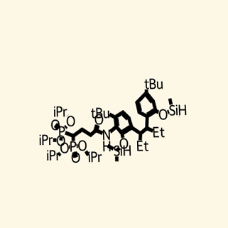 CCC(c1ccc(C(C)(C)C)cc1O[SiH](C)C)C(CC)c1ccc(C(C)(C)C)c(NC(=O)CCC(P(=O)(OC(C)C)OC(C)C)P(=O)(OC(C)C)OC(C)C)c1O[SiH](C)C